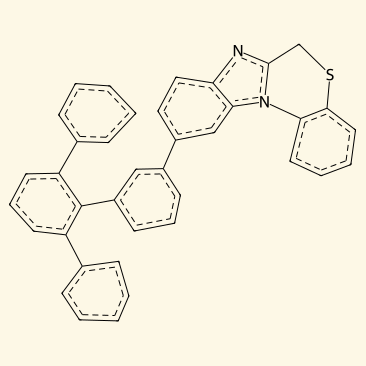 c1ccc(-c2cccc(-c3ccccc3)c2-c2cccc(-c3ccc4nc5n(c4c3)-c3ccccc3SC5)c2)cc1